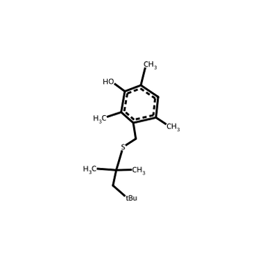 Cc1cc(C)c(CSC(C)(C)CC(C)(C)C)c(C)c1O